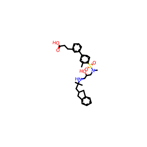 Cc1cc(-c2cccc(CCC(=O)O)c2)ccc1S(=O)(=O)N(C)CC(O)CNC(C)(C)CC1Cc2ccccc2C1